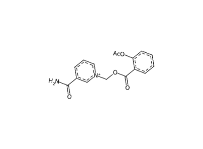 CC(=O)Oc1ccccc1C(=O)OC[n+]1cccc(C(N)=O)c1